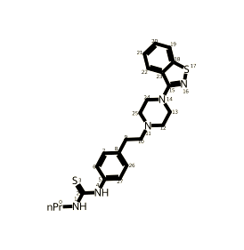 CCCNC(=S)Nc1ccc(CCN2CCN(c3nsc4ccccc34)CC2)cc1